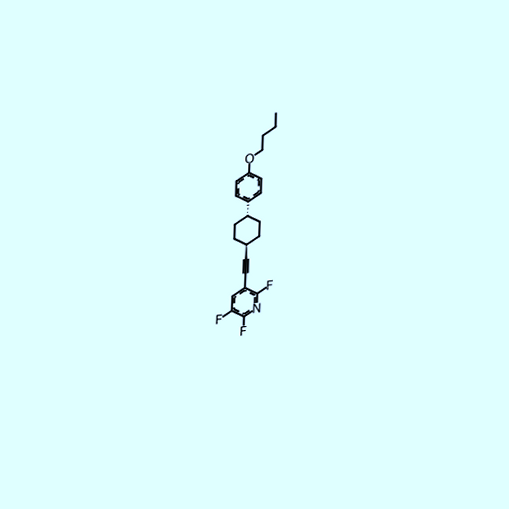 CCCCOc1ccc([C@H]2CC[C@H](C#Cc3cc(F)c(F)nc3F)CC2)cc1